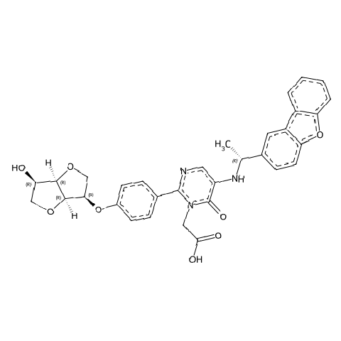 C[C@@H](Nc1cnc(-c2ccc(O[C@@H]3CO[C@H]4[C@@H]3OC[C@H]4O)cc2)n(CC(=O)O)c1=O)c1ccc2oc3ccccc3c2c1